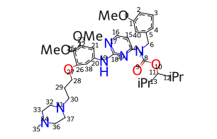 COc1cccc(CN(C(=O)OC(C(C)C)C(C)C)c2ccnc(Nc3cc(OC)c(OC)c(OCCCN4CCN(C)CC4)c3)n2)c1